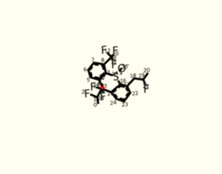 CC(F)Cc1cccc(C(F)(F)F)c1[S+]([O-])c1c(CC(C)F)cccc1C(F)(F)F